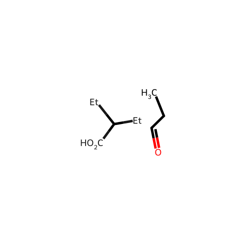 CCC(CC)C(=O)O.CCC=O